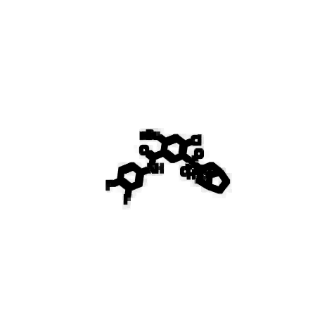 CCCCc1cc(Cl)c(S(=O)(=O)C2CC3CCC(C2)C3(C)O)cc1C(=O)Nc1ccc(F)c(F)c1